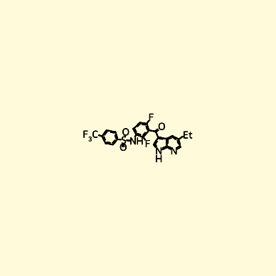 CCc1cnc2[nH]cc(C(=O)c3c(F)ccc(NS(=O)(=O)c4ccc(C(F)(F)F)cc4)c3F)c2c1